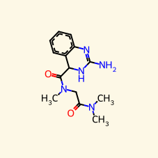 CN(C)C(=O)CN(C)C(=O)C1NC(N)=Nc2ccccc21